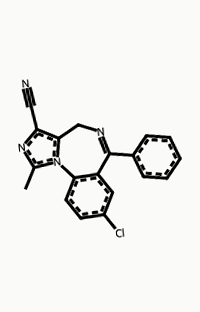 Cc1nc(C#N)c2n1-c1ccc(Cl)cc1C(c1ccccc1)=NC2